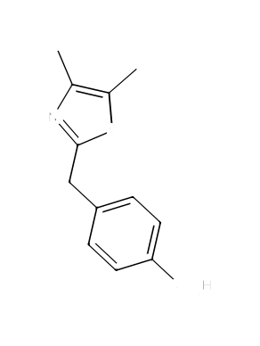 Cc1nc(Cc2ccc(C(=O)O)cc2)sc1C